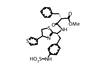 COC(=O)[C@@H](Cc1ccccc1)C(=O)N[C@@H](Cc1ccc(NS(=O)(=O)O)cc1)C1=NC(c2ccsc2)CS1